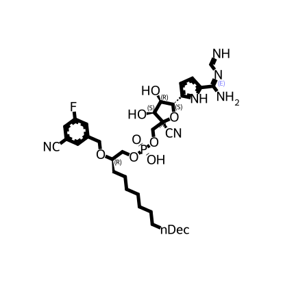 CCCCCCCCCCCCCCCCC[C@H](COP(=O)(O)OC[C@@]1(C#N)O[C@@H](c2ccc(/C(N)=N\C=N)[nH]2)[C@H](O)[C@@H]1O)OCc1cc(F)cc(C#N)c1